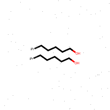 CC(C)CCCCCO.CC(C)CCCCCO